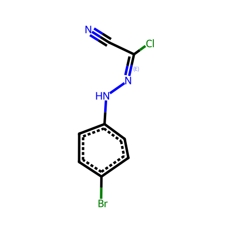 N#C/C(Cl)=N\Nc1ccc(Br)cc1